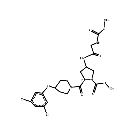 CC(C)(C)OC(=O)NCC(=O)NC1C[C@H](C(=O)N2CCC(Oc3cc(Cl)cc(Cl)c3)CC2)N(C(=O)OC(C)(C)C)C1